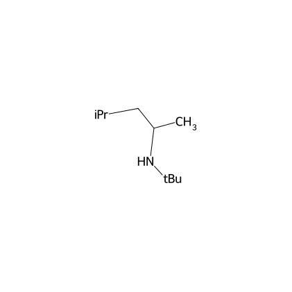 CC(C)CC(C)NC(C)(C)C